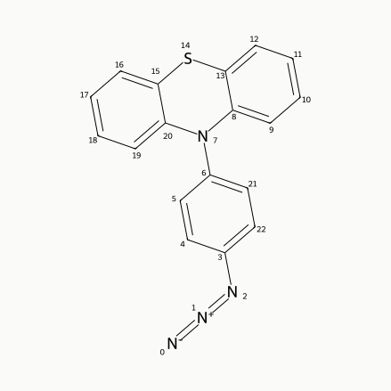 [N-]=[N+]=Nc1ccc(N2c3ccccc3Sc3ccccc32)cc1